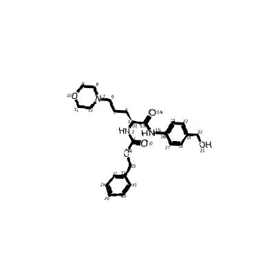 O=C(N[C@@H](CCCN1CCOCC1)C(=O)Nc1ccc(CO)cc1)OCc1ccccc1